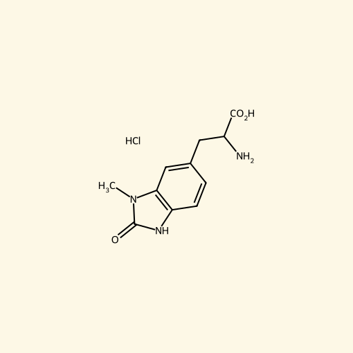 Cl.Cn1c(=O)[nH]c2ccc(CC(N)C(=O)O)cc21